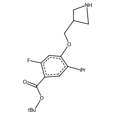 CC(C)c1cc(C(=O)OC(C)(C)C)c(F)cc1OCC1CNC1